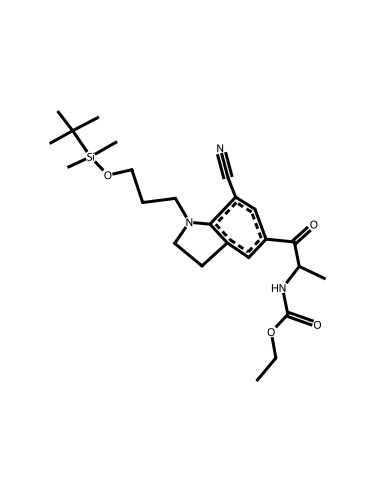 CCOC(=O)NC(C)C(=O)c1cc(C#N)c2c(c1)CCN2CCCO[Si](C)(C)C(C)(C)C